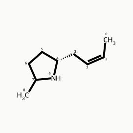 C/C=C\C[C@H]1CCC(C)N1